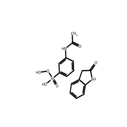 CC(=O)Nc1cccc([As](=O)(O)OO)c1.O=C1Cc2ccccc2N1